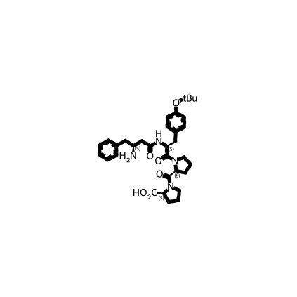 CC(C)(C)Oc1ccc(C[C@H](NC(=O)C[C@@H](N)Cc2ccccc2)C(=O)N2CCC[C@H]2C(=O)N2CCC[C@H]2C(=O)O)cc1